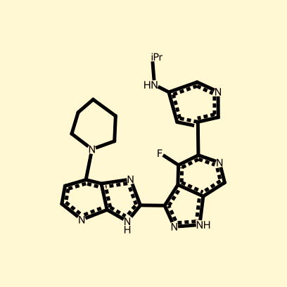 CC(C)Nc1cncc(-c2ncc3[nH]nc(-c4nc5c(N6CCCCC6)ccnc5[nH]4)c3c2F)c1